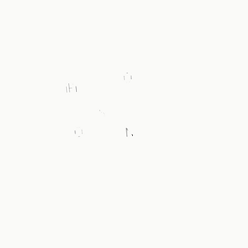 CC(C)S(=O)(=O)N(C)C